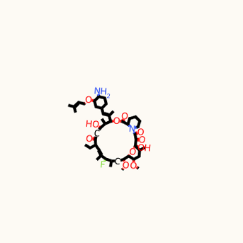 CCC1/C=C(\C)C(F)C(C)CC(OC)C2OC(O)(C(=O)C(=O)N3CCCCC3C(=O)OC(C(C)=CC3CCC(N)C(OCC=C(C)C)C3)C(C)C(O)CC1=O)C(C)CC2OC